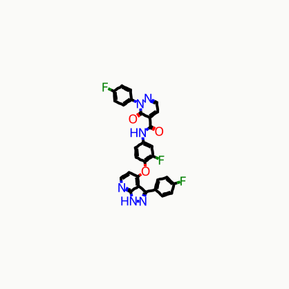 O=C(Nc1ccc(Oc2ccnc3[nH]nc(-c4ccc(F)cc4)c23)c(F)c1)c1ccnn(-c2ccc(F)cc2)c1=O